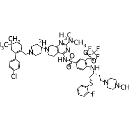 [2H]C1(N2CCc3c(nc(N(C)C)nc3NS(=O)(=O)c3ccc(N[C@H](CCN4CCN(C)CC4)CSc4ccccc4F)c(S(=O)(=O)C(F)(F)F)c3)C2)CCN(CC2=C(c3ccc(Cl)cc3)CC(C)(C)CC2)CC1